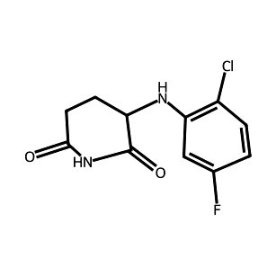 O=C1CCC(Nc2cc(F)ccc2Cl)C(=O)N1